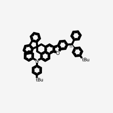 CC(C)(C)c1ccc([C@H](c2ccccc2)c2ccc3c(c2)oc2c4ccc(N(c5ccccc5)c5ccc(C(C)(C)C)cc5)c5c4c(cc32)CC2(C5)c3ccccc3-c3ccccc32)cc1